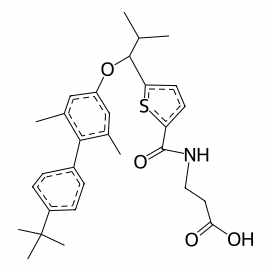 Cc1cc(OC(c2ccc(C(=O)NCCC(=O)O)s2)C(C)C)cc(C)c1-c1ccc(C(C)(C)C)cc1